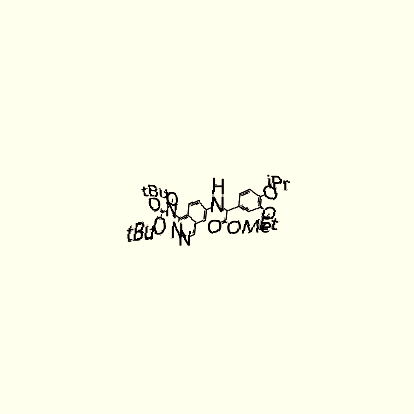 CCOc1cc(C(Nc2ccc3c(N(OC(C)(C)C)C(=O)OC(C)(C)C)nncc3c2)C(=O)OC)ccc1OC(C)C